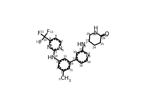 Cc1cc(Nc2nccc(C(F)(F)F)n2)cc(-c2ccnc(N[C@H]3CCC(=O)NC3)c2)c1